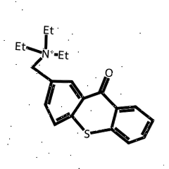 CC[N+](CC)(CC)Cc1ccc2sc3ccccc3c(=O)c2c1